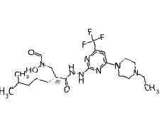 CCN1CCN(c2cc(C(F)(F)F)nc(NNC(=O)[C@H](CCCC(C)C)CN(O)C=O)n2)CC1